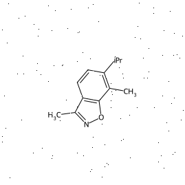 Cc1noc2c(C)c(C(C)C)ccc12